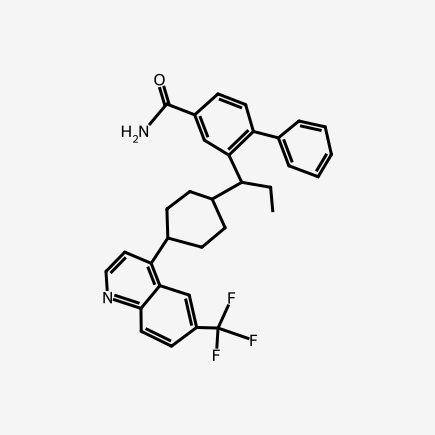 CCC(c1cc(C(N)=O)ccc1-c1ccccc1)C1CCC(c2ccnc3ccc(C(F)(F)F)cc23)CC1